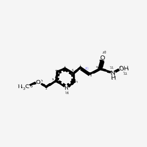 COCc1ccc(/C=C/C(=O)NO)cn1